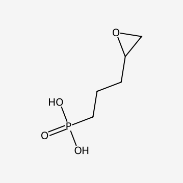 O=P(O)(O)CCCC1CO1